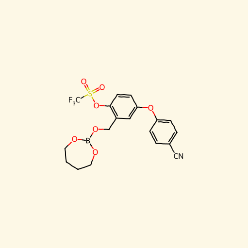 N#Cc1ccc(Oc2ccc(OS(=O)(=O)C(F)(F)F)c(COB3OCCCCO3)c2)cc1